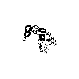 C=CCS[C@@H]1CC[C@H]1CN1C[C@@]2(CCCc3cc(Cl)ccc32)COc2ccc(C(=O)OC(C)(C)C)cc21